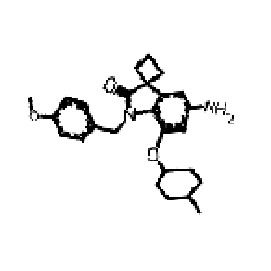 COc1ccc(CN2C(=O)C3(CCC3)c3cc(N)cc(OC4CCC(C)CC4)c32)cc1